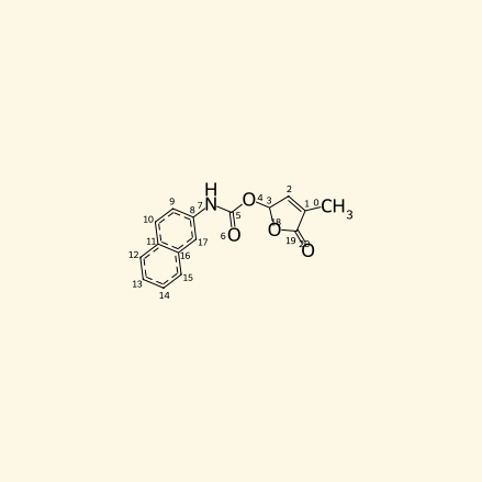 CC1=CC(OC(=O)Nc2ccc3ccccc3c2)OC1=O